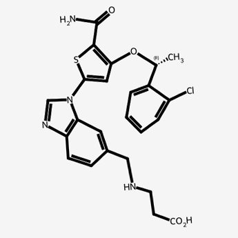 C[C@@H](Oc1cc(-n2cnc3ccc(CNCCC(=O)O)cc32)sc1C(N)=O)c1ccccc1Cl